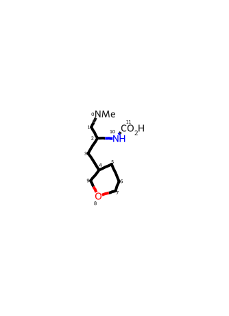 CNCC(CC1CCCOC1)NC(=O)O